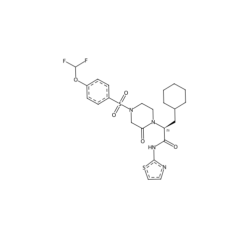 O=C(Nc1nccs1)[C@H](CC1CCCCC1)N1CCN(S(=O)(=O)c2ccc(OC(F)F)cc2)CC1=O